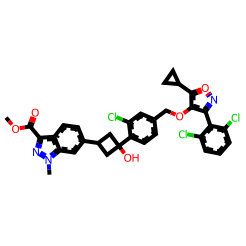 COC(=O)c1nn(C)c2cc(C3CC(O)(c4ccc(COc5c(-c6c(Cl)cccc6Cl)noc5C5CC5)cc4Cl)C3)ccc12